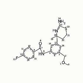 COCc1cc(NC(=O)c2ccc(F)cc2)cc(C2(C)CCSC(N)=N2)c1